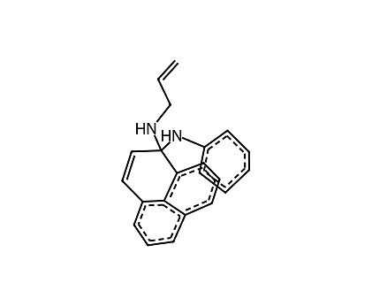 C=CCNC1(Nc2ccccc2)C=Cc2cccc3cccc1c23